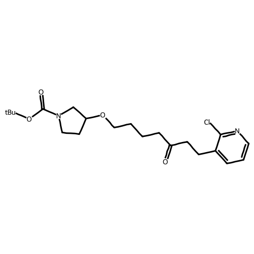 CC(C)(C)OC(=O)N1CCC(OCCCCC(=O)CCc2cccnc2Cl)C1